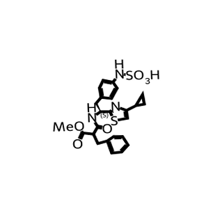 COC(=O)C(Cc1ccccc1)C(=O)N[C@@H](Cc1ccc(NS(=O)(=O)O)cc1)c1nc(C2CC2)cs1